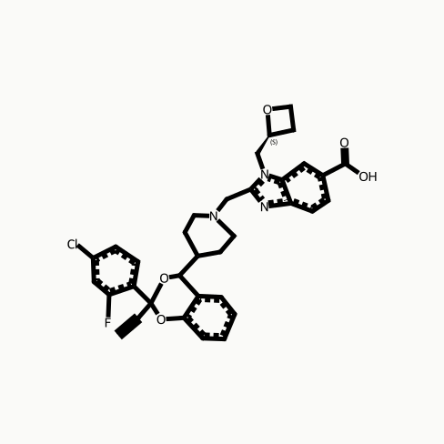 C#CC1(c2ccc(Cl)cc2F)Oc2ccccc2C(C2CCN(Cc3nc4ccc(C(=O)O)cc4n3C[C@@H]3CCO3)CC2)O1